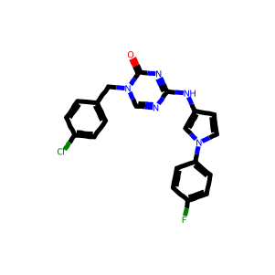 O=c1nc(Nc2ccn(-c3ccc(F)cc3)c2)ncn1Cc1ccc(Cl)cc1